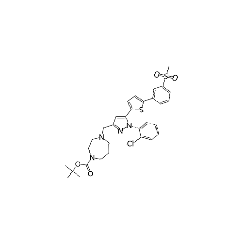 CC(C)(C)OC(=O)N1CCCN(Cc2cc(-c3ccc(-c4cccc(S(C)(=O)=O)c4)s3)n(-c3ccccc3Cl)n2)CC1